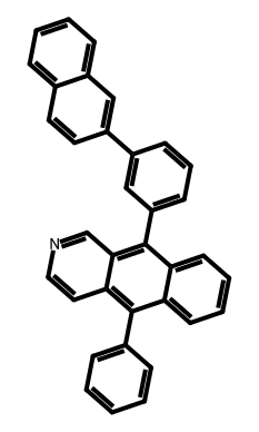 c1ccc(-c2c3ccccc3c(-c3cccc(-c4ccc5ccccc5c4)c3)c3cnccc23)cc1